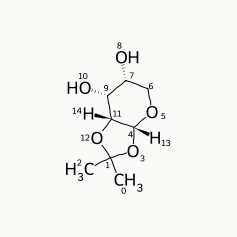 CC1(C)O[C@H]2OC[C@@H](O)[C@@H](O)[C@H]2O1